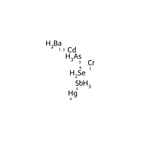 [AsH3].[BaH2].[Cd].[Cr].[Hg].[SbH3].[SeH2]